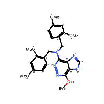 COc1ccc(CN(Cc2ccc(OC)cc2OC)c2nnc(OC(C)C)c3[nH]cnc23)c(OC)c1